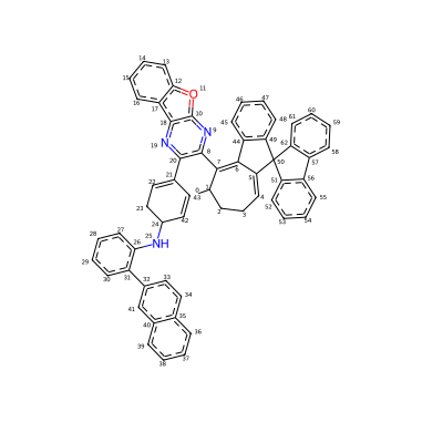 CC1CCC=C2C(=C1c1nc3oc4ccccc4c3nc1C1=CCC(Nc3ccccc3-c3ccc4ccccc4c3)C=C1)c1ccccc1C21c2ccccc2-c2ccccc21